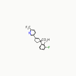 Cc1c(F)cccc1[C@@]1(C(=O)O)C=C(c2ccc(C(F)(F)F)nc2)CC1